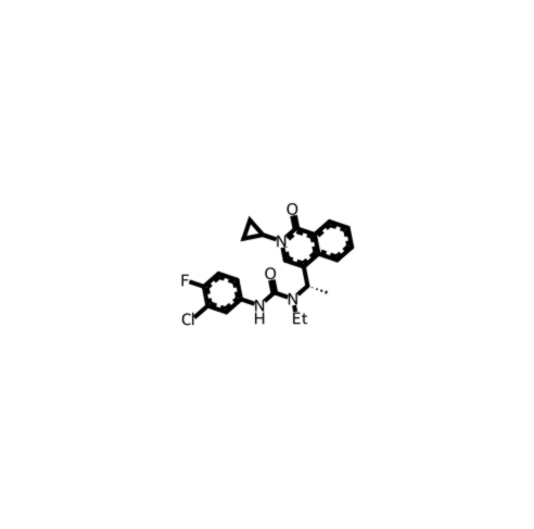 CCN(C(=O)Nc1ccc(F)c(Cl)c1)[C@@H](C)c1cn(C2CC2)c(=O)c2ccccc12